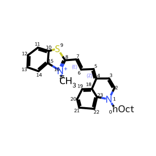 CCCCCCCCN1C=C/C(=C/C=C/c2sc3ccccc3[n+]2C)c2ccccc21